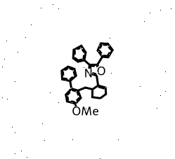 COc1ccc(-c2ccccc2)c(CC2CCCC=C2c2nc(-c3ccccc3)c(-c3ccccc3)o2)c1